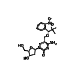 CC(C)(C)[C@H](OCc1cn([C@H]2C[C@H](O)[C@@H](CO)O2)c(=O)nc1N)c1ccccc1[N+](=O)[O-]